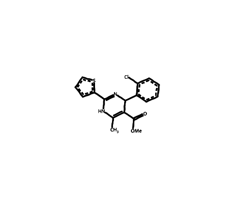 COC(=O)C1=C(C)NC(c2cccs2)=NC1c1ccccc1Cl